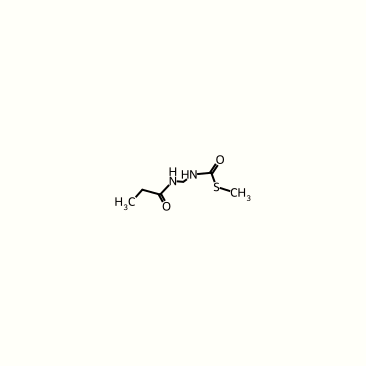 CCC(=O)NCNC(=O)SC